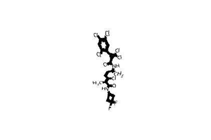 C=C(/C=C\C(Cl)=C(/C)C(=O)NC1CC(F)(F)C1)NC(=O)C1C(c2cc(Cl)c(Cl)cc2Cl)C1(Cl)Cl